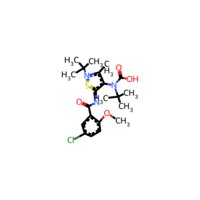 COc1ccc(Cl)cc1C(=O)N=c1sn(C(C)(C)C)c(C)c1N(C(=O)O)C(C)(C)C